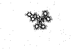 c1ccc2c(c1)-c1cccc3c(-c4nc(-n5c6ccccc6c6ccccc65)nc(-n5c6ccccc6c6ccccc65)n4)ccc-2c13